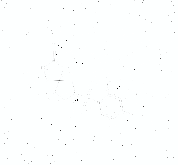 N#Cc1cc(Cl)ccc1S(=O)(=O)N1CCC2(CNC(=O)O2)C1